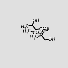 CC(=O)O.CC(O)CO.COCC(C)O